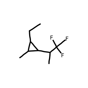 CCC1C(C)C1C(C)C(F)(F)F